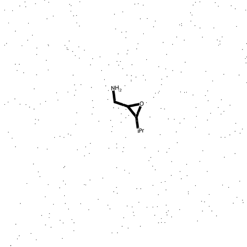 CC(C)C1OC1CN